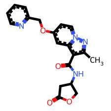 Cc1nn2ccc(OCc3ccccn3)cc2c1C(=O)NC1COC(=O)C1